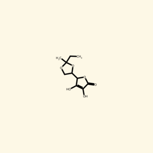 CCC1(C)OCC(C2OC(=O)C(O)=C2O)O1